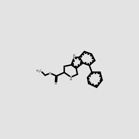 CCOC(=O)C1Cc2[nH]c3cccc(-c4ccccc4)c3c2CN1